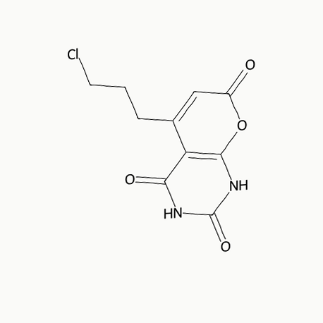 O=c1[nH]c(=O)c2c(CCCCl)cc(=O)oc2[nH]1